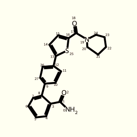 NC(=O)c1ccccc1-c1ccc(-c2ccc(C(=O)N3CCCCC3)s2)cc1